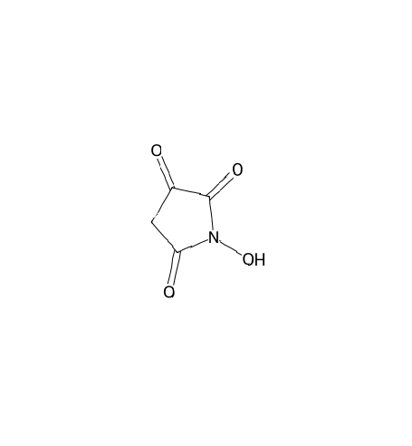 O=C1CC(=O)N(O)C1=O